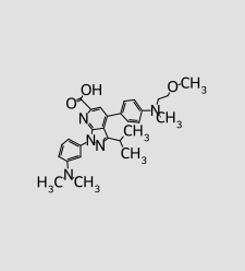 COCCN(C)c1ccc(-c2cc(C(=O)O)nc3c2c(C(C)C)nn3-c2cccc(N(C)C)c2)cc1